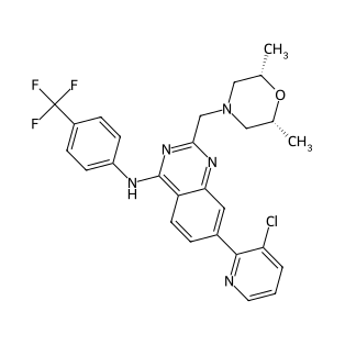 C[C@@H]1CN(Cc2nc(Nc3ccc(C(F)(F)F)cc3)c3ccc(-c4ncccc4Cl)cc3n2)C[C@H](C)O1